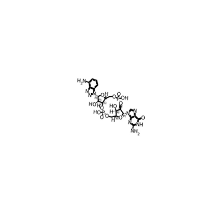 Nc1nc2c(ncn2[C@@H]2O[C@@H]3COP(=O)(O)O[C@H]4[C@@H](O)[C@H](n5nnc6c(N)cccc65)O[C@@H]4COP(=O)(O)O[C@@H]2[C@@H]3O)c(=O)[nH]1